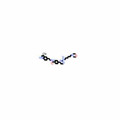 N#Cc1c[nH]c2ccc(CCNC(=O)c3ccc(-c4ccnc(NCCCCCCN5CCOCC5)n4)cc3)cc12